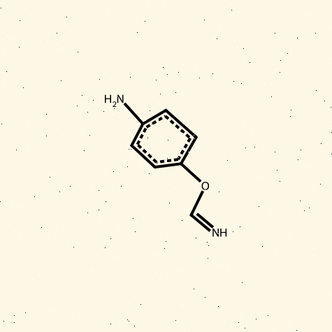 N=COc1ccc(N)cc1